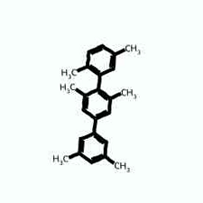 Cc1[c]c(C)cc(-c2cc(C)c(-c3cc(C)ccc3C)c(C)c2)c1